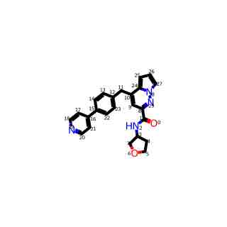 O=C(NC1CCOC1)c1cc(Cc2ccc(-c3ccncc3)cc2)c2cccn2n1